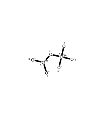 [O-][Cl+2]([O-])O[Cl+3]([O-])([O-])[O-]